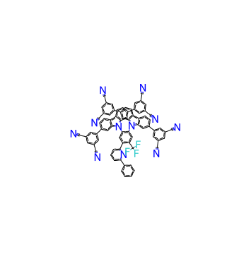 N#Cc1cc(C#N)cc(-c2ccc3c4ccc(-c5cc(C#N)cc(C#N)c5)cc4n(-c4cc(-c5cccc(-c6ccccc6)n5)c(C(F)(F)F)cc4-n4c5cc(-c6cc(C#N)cc(C#N)c6)ccc5c5ccc(-c6cc(C#N)cc(C#N)c6)cc54)c3c2)c1